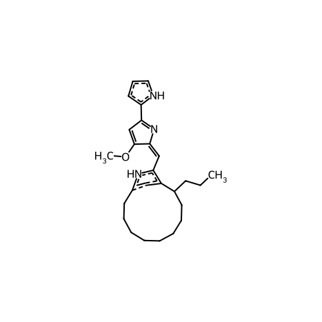 CCCC1CCCCCCCCc2cc1c(/C=C1/N=C(c3ccc[nH]3)C=C1OC)[nH]2